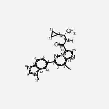 Cc1cc(-c2ccc3ncn(C)c3c2)nn2c(C(=O)N[C@H](C3CC3)C(F)(F)F)cnc12